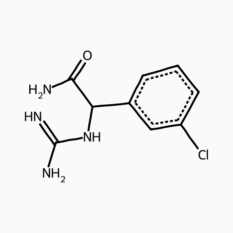 N=C(N)NC(C(N)=O)c1cccc(Cl)c1